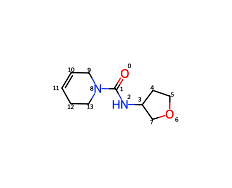 O=C(NC1CCOC1)N1CC=CCC1